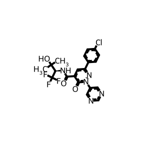 CC(C)(O)[C@@H](NC(=O)c1cc(-c2ccc(Cl)cc2)nn(-c2cncnc2)c1=O)C(F)(F)F